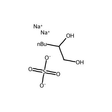 CCCCC(O)CO.O=S(=O)([O-])[O-].[Na+].[Na+]